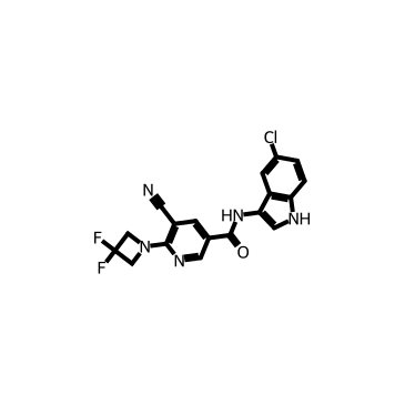 N#Cc1cc(C(=O)Nc2c[nH]c3ccc(Cl)cc23)cnc1N1CC(F)(F)C1